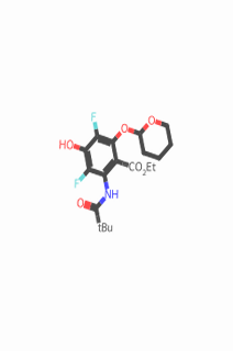 CCOC(=O)c1c(NC(=O)C(C)(C)C)c(F)c(O)c(F)c1OC1CCCCO1